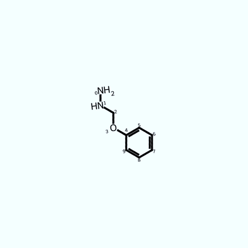 NNCOc1ccccc1